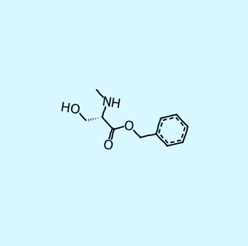 CN[C@@H](CO)C(=O)OCc1ccccc1